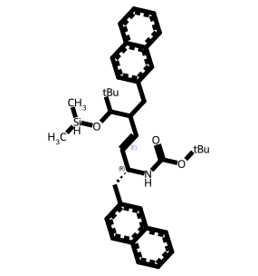 C[SiH](C)OC(C(/C=C/[C@@H](Cc1ccc2ccccc2c1)NC(=O)OC(C)(C)C)Cc1ccc2ccccc2c1)C(C)(C)C